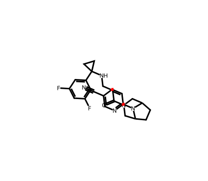 N#Cc1ccc(N2C3CCC2CN(C(=O)CCNC2(c4cc(F)cc(F)c4)CC2)C3)nc1